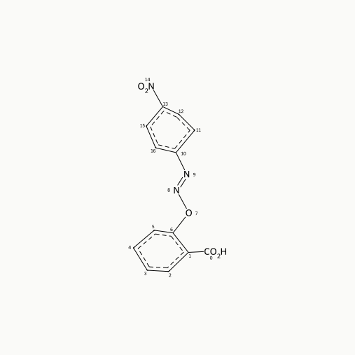 O=C(O)c1ccccc1ON=Nc1ccc([N+](=O)[O-])cc1